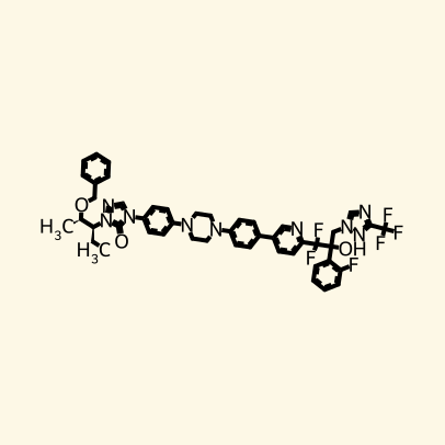 CC[C@@H]([C@H](C)OCc1ccccc1)n1ncn(-c2ccc(N3CCN(c4ccc(-c5ccc(C(F)(F)C(O)(Cn6cnc(C(F)(F)F)n6)c6ccccc6F)nc5)cc4)CC3)cc2)c1=O